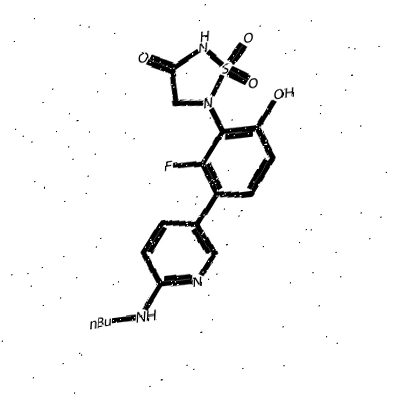 CCCCNc1ccc(-c2ccc(O)c(N3CC(=O)NS3(=O)=O)c2F)cn1